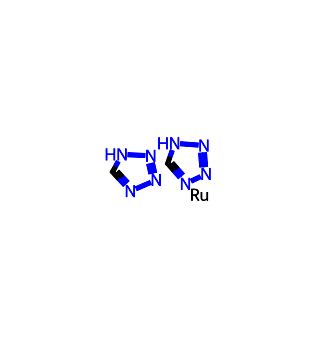 [Ru].c1nnn[nH]1.c1nnn[nH]1